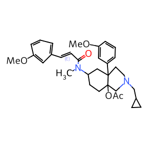 COc1cccc(/C=C/C(=O)N(C)C2CCC3(OC(C)=O)CN(CC4CC4)CCC3(c3cccc(OC)c3)C2)c1